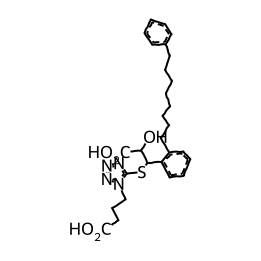 O=C(O)CCCn1nnnc1SC(c1ccccc1CCCCCCCCc1ccccc1)C(O)C(=O)O